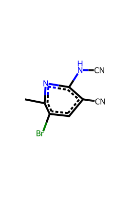 Cc1nc(NC#N)c(C#N)cc1Br